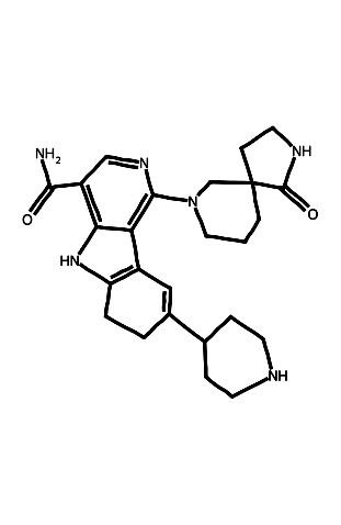 NC(=O)c1cnc(N2CCCC3(CCNC3=O)C2)c2c3c([nH]c12)CCC(C1CCNCC1)=C3